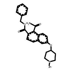 CC(C)N1CCC(Oc2ccc3c(C(N)=O)c(C(=O)OCc4ccccc4)ccc3c2)CC1